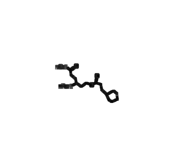 CCCCCCCCC(=O)CCC(CCCCC)CCOC(=O)CCC1CCCCC1